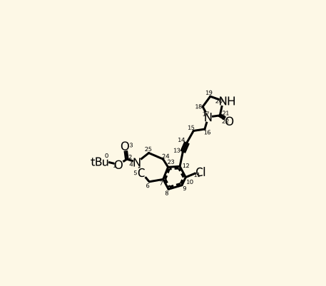 CC(C)(C)OC(=O)N1CCc2ccc(Cl)c(C#CCCN3CCNC3=O)c2CC1